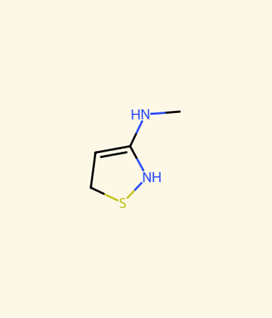 CNC1=CCSN1